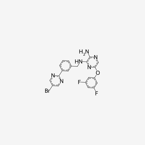 Nc1ncc(Oc2cc(F)cc(F)c2)nc1NCc1cccc(-c2ncc(Br)cn2)c1